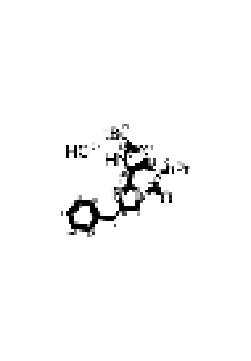 CCCN1C(=O)N2C[C@@H](Cc3ccccc3)N=C2c2[nH]c(C(C)(C)C)nc21.Cl